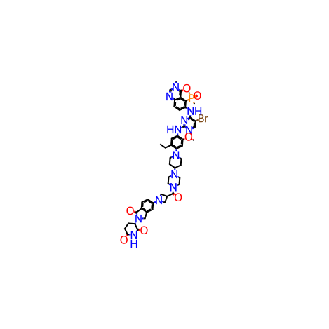 CCc1cc(Nc2ncc(Br)c(Nc3ccc4ncn(C)c(=O)c4c3P(C)(C)=O)n2)c(OC)cc1N1CCC(N2CCN(C(=O)C3CN(c4ccc5c(c4)CN(C4CCC(=O)NC4=O)C5=O)C3)CC2)CC1